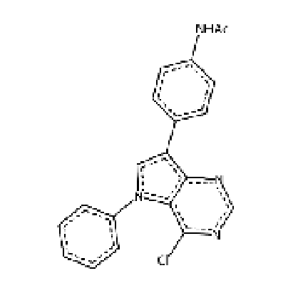 CC(=O)Nc1ccc(-c2cn(-c3ccccc3)c3c(Cl)ncnc23)cc1